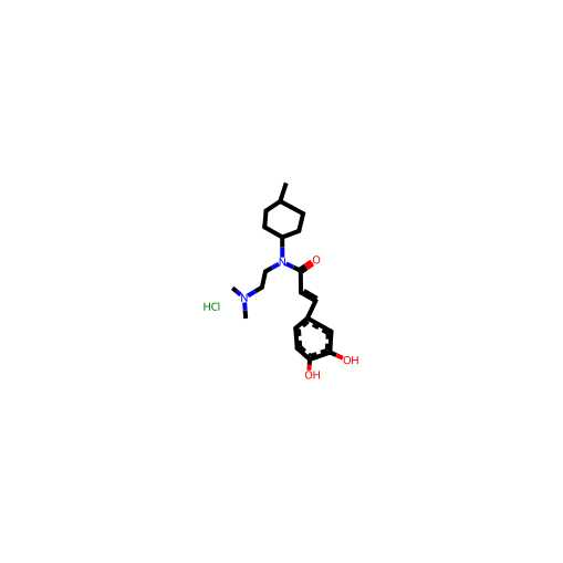 CC1CCC(N(CCN(C)C)C(=O)C=Cc2ccc(O)c(O)c2)CC1.Cl